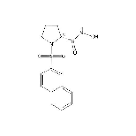 O=C(NO)[C@H]1CCCN1S(=O)(=O)c1ccc2ccccc2c1